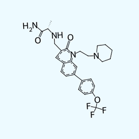 C[C@H](NCc1cc2ccc(-c3ccc(OC(F)(F)F)cc3)cc2n(CCN2CCCCC2)c1=O)C(N)=O